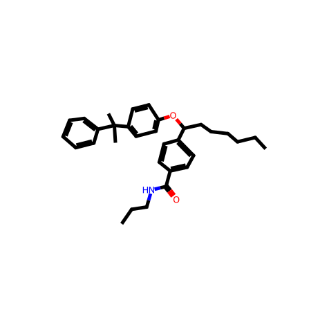 CCCCCCC(Oc1ccc(C(C)(C)c2ccccc2)cc1)c1ccc(C(=O)NCCC)cc1